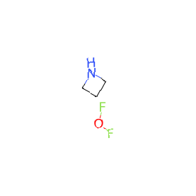 C1CNC1.FOF